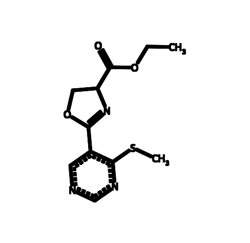 CCOC(=O)C1COC(c2cncnc2SC)=N1